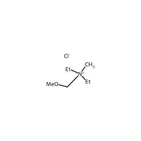 CC[N+](C)(CC)COC.[Cl-]